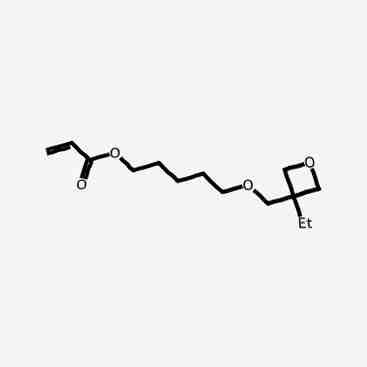 C=CC(=O)OCCCCCOCC1(CC)COC1